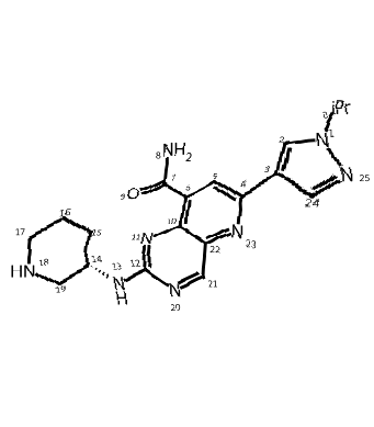 CC(C)n1cc(-c2cc(C(N)=O)c3nc(N[C@H]4CCCNC4)ncc3n2)cn1